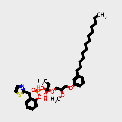 CCCCCCCCCCCCCCc1cccc(OCC(COC(O)(CC)O[PH](=O)Oc2ccccc2Cc2nccs2)OC)c1